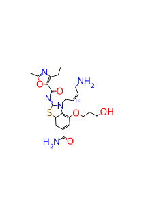 CCc1nc(C)oc1C(=O)N=c1sc2cc(C(N)=O)cc(OCCCO)c2n1C/C=C\CN